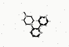 CN1CCN(c2c[c]cnc2-c2ccncc2)CC1